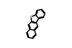 [c]1c2ccccc2cc2c1oc1ccccc12